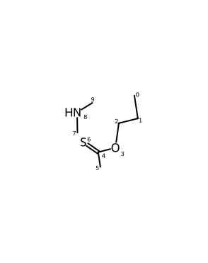 CCCOC(C)=S.CNC